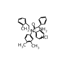 Cc1ccc([N@@+](CCc2ccccc2C)(C(=O)C(N)c2ccccc2)c2ccccc2)cc1C.Cl